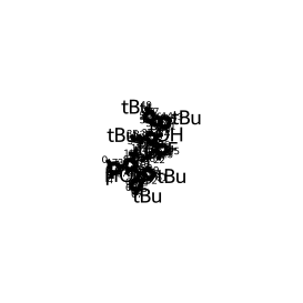 Cc1cc(F)cc(-c2cc(C(C)(C)CC(C)(C)C)c(OCCOc3c(C)cc(F)cc3-c3cc(C(C)(C)CC(C)(C)C)cc(-n4c5ccc(C(C)(C)C)cc5c5cc(C(C)(C)C)ccc54)c3O)c(-n3c4ccc(C(C)(C)C)cc4c4cc(C(C)(C)C)ccc43)c2O)c1